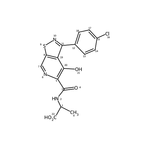 CC(NC(=O)c1ncc2snc(-c3ccc(Cl)cc3)c2c1O)C(=O)O